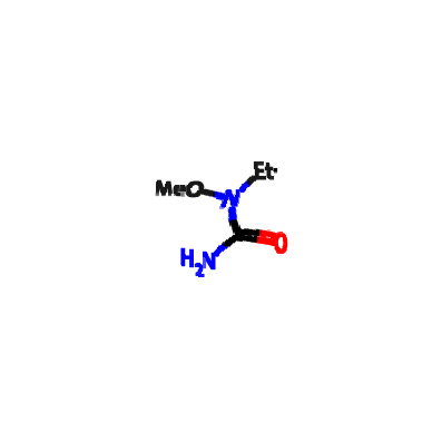 C[CH]N(OC)C(N)=O